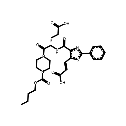 CCCCOC(=O)N1CCN(C(=O)[C@H](CCC(=O)O)NC(=O)c2nc(-c3ccccc3)sc2C=CC(=O)O)CC1